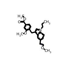 CCCn1cc(Cc2ccc(C(=O)OC)cc2OC)c2cc(/C=C/OC)ccc21